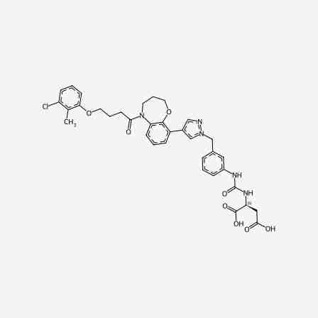 Cc1c(Cl)cccc1OCCCC(=O)N1CCCOc2c(-c3cnn(Cc4cccc(NC(=O)N[C@@H](CC(=O)O)C(=O)O)c4)c3)cccc21